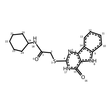 O=C(CSc1nc2c([nH]c3ccccc32)c(=O)[nH]1)NC1CCCCC1